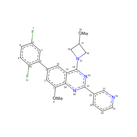 COc1cc(-c2cc(F)ccc2F)cc2c(N3CC(OC)C3)nc(-c3cccnc3)nc12